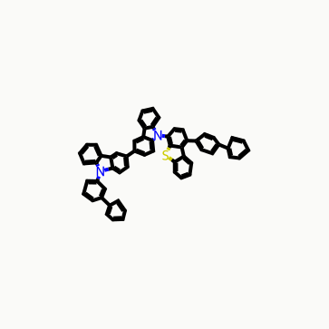 c1ccc(-c2ccc(-c3ccc(-n4c5ccccc5c5cc(-c6ccc7c(c6)c6ccccc6n7-c6cccc(-c7ccccc7)c6)ccc54)c4sc5ccccc5c34)cc2)cc1